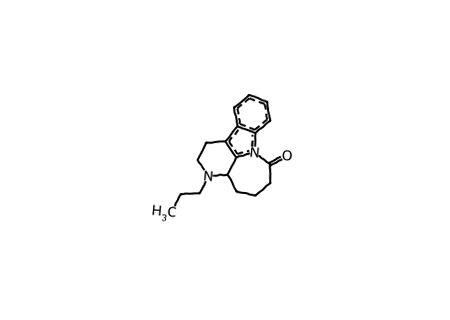 CCCN1CCc2c3n(c4ccccc24)C(=O)CCCC31